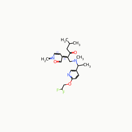 C=N/C=C\C(C=O)=C(\CN(C)C(C)c1ccc(OCC(F)F)nc1)C(=O)CC(C)C